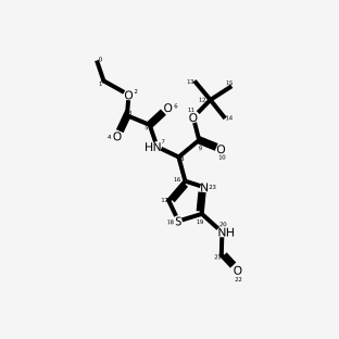 CCOC(=O)C(=O)NC(C(=O)OC(C)(C)C)c1csc(NC=O)n1